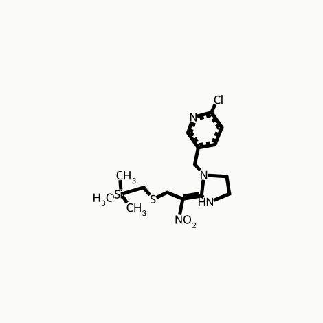 C[Si](C)(C)CSCC(=C1NCCN1Cc1ccc(Cl)nc1)[N+](=O)[O-]